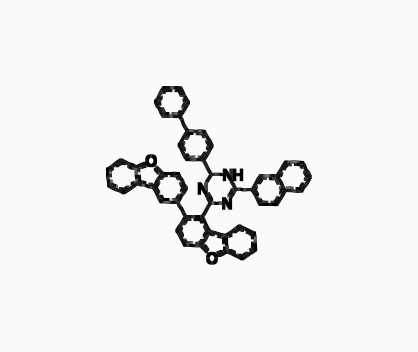 c1ccc(-c2ccc(C3N=C(c4c(-c5ccc6oc7ccccc7c6c5)ccc5oc6ccccc6c45)N=C(c4ccc5ccccc5c4)N3)cc2)cc1